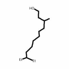 CCC(CC)CCCCCCC(C)CCO